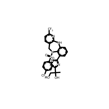 CC(O)(CO)c1nc(-c2cccc3c2N(S(=O)(=O)c2ccc(C(F)(F)F)cc2)Cc2ccc(C(F)(F)F)nc2N3)no1